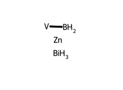 [BH2][V].[BiH3].[Zn]